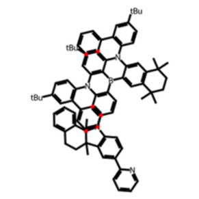 CC(C)(C)c1ccc(N2c3cc(N4c5ccc(-c6ccccn6)cc5C5(C)CCc6ccccc6C45C)ccc3B3c4cc5c(cc4N(c4ccc(C(C)(C)C)cc4-c4ccccc4)c4cc(C(C)(C)C)cc2c43)C(C)(C)CCC5(C)C)c(-c2ccccc2)c1